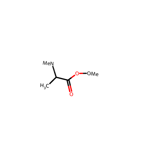 CNC(C)C(=O)OOC